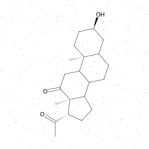 CC(=O)[C@H]1CCC2C3CCC4C[C@H](O)CC[C@]4(C)C3CC(=O)[C@@]21C